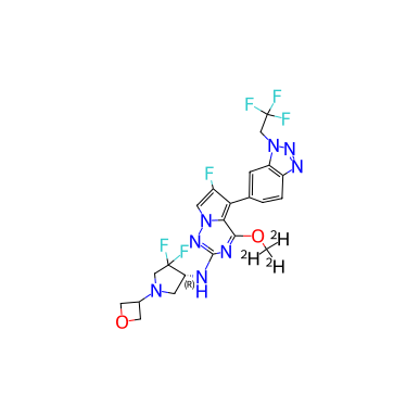 [2H]C([2H])([2H])Oc1nc(N[C@@H]2CN(C3COC3)CC2(F)F)nn2cc(F)c(-c3ccc4nnn(CC(F)(F)F)c4c3)c12